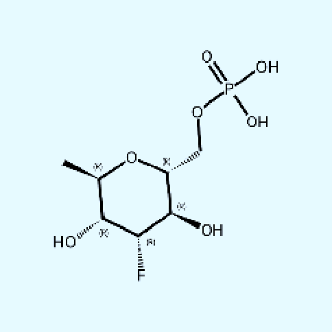 C[C@H]1O[C@H](COP(=O)(O)O)[C@@H](O)[C@H](F)[C@@H]1O